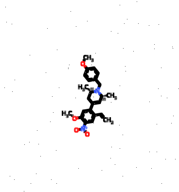 C=Cc1cc([N+](=O)[O-])c(OC)cc1C1=C[C@@H](C)N(Cc2ccc(OC)cc2)[C@@H](C)C1